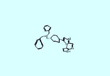 c1ccc(CN(Cc2ccccc2)C[C@H]2CC[C@H](c3cnc4cnc5[nH]ccc5n43)CC2)cc1